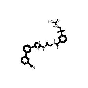 CC(C)(CNC(=O)O)c1cccc(C(=O)NCC(=O)Nc2nc(-c3cccc(-c4cccc(C#N)c4)c3)cs2)c1